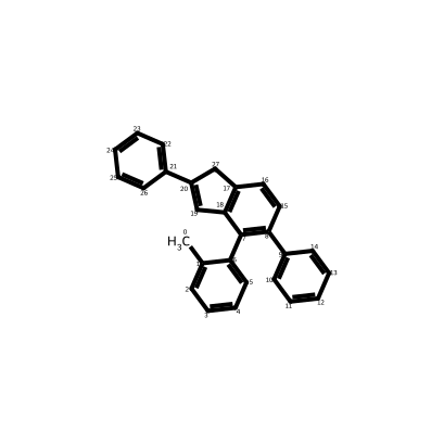 Cc1ccccc1-c1c(-c2ccccc2)ccc2c1C=C(c1ccccc1)[CH]2